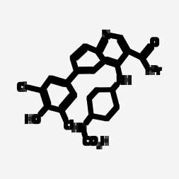 CCCC(=O)c1cnc2ccc(-c3cc(Cl)c(O)c(Cl)c3)cc2c1NC1CCC(NC(=O)O)CC1